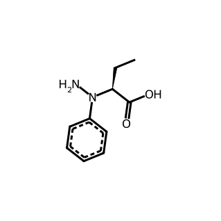 CC[C@@H](C(=O)O)N(N)c1ccccc1